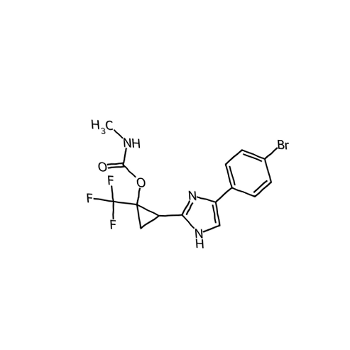 CNC(=O)OC1(C(F)(F)F)CC1c1nc(-c2ccc(Br)cc2)c[nH]1